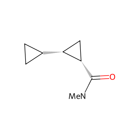 CNC(=O)[C@H]1C[C@H]1C1CC1